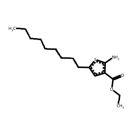 CCCCCCCCCc1cc(C(=O)OCC)c(N)s1